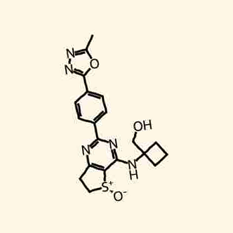 Cc1nnc(-c2ccc(-c3nc4c(c(NC5(CO)CCC5)n3)[S@+]([O-])CC4)cc2)o1